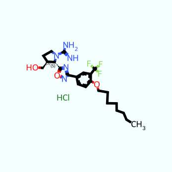 CCCCCCCCOc1ccc(-c2noc([C@@H]3[C@@H](CO)CCN3C(=N)N)n2)cc1C(F)(F)F.Cl